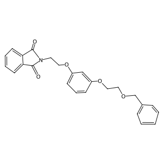 O=C1c2ccccc2C(=O)N1CCOc1cccc(OCCOCc2ccccc2)c1